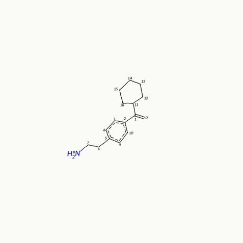 C=C(c1ccc(CCN)cc1)C1CCCCC1